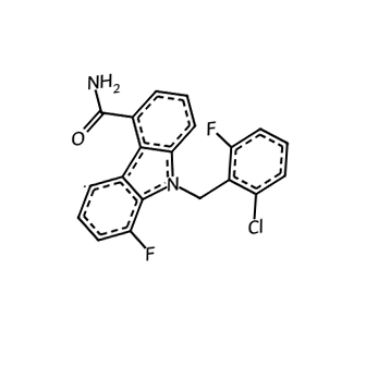 NC(=O)c1cccc2c1c1[c]ccc(F)c1n2Cc1c(F)cccc1Cl